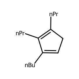 CCCCC1=CCC(CCC)=C1CCC